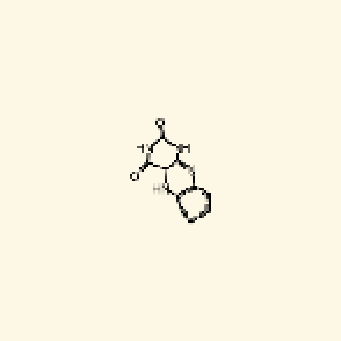 O=C1NC(=O)C2Nc3ccccc3N=C2N1